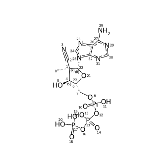 C[C@@]1(C#N)[C@H](O)[C@@H](COP(=O)(O)OP(=O)(O)OP(=O)(O)O)O[C@H]1n1cnc2c(N)ncnc21